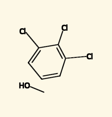 CO.Clc1cccc(Cl)c1Cl